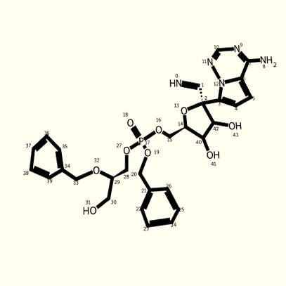 N=C[C@@]1(c2ccc3c(N)ncnn23)O[C@H](COP(=O)(OCc2ccccc2)OC[C@@H](CO)OCc2ccccc2)C(O)C1O